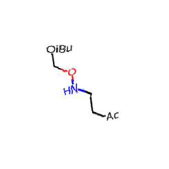 CC(=O)CCNOCOCC(C)C